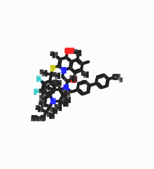 [2H]C1=C(SC([2H])([2H])c2cccc(F)c2F)N(CC(=O)N(Cc2ccc(-c3ccc(C(F)(F)F)cc3)cc2)C2([2H])C([2H])([2H])C([2H])([2H])N(C([2H])([2H])C([2H])([2H])OC)C([2H])([2H])C2([2H])[2H])c2c([2H])c([2H])c(C)c([2H])c2C1O